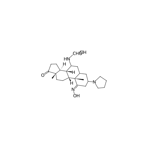 C[C@]12C(=NO)CC(N3CCCC3)CC1CC(NC=O)[C@@H]1[C@H]2CC[C@]2(C)C(=O)CC[C@@H]12.Cl